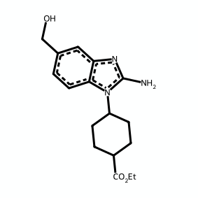 CCOC(=O)C1CCC(n2c(N)nc3cc(CO)ccc32)CC1